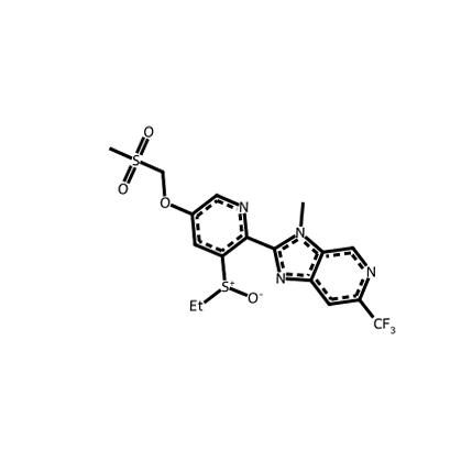 CC[S+]([O-])c1cc(OCS(C)(=O)=O)cnc1-c1nc2cc(C(F)(F)F)ncc2n1C